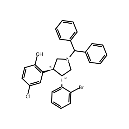 Oc1ccc(Cl)cc1[C@H]1CN(C(c2ccccc2)c2ccccc2)C[C@@H]1c1ccccc1Br